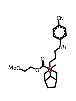 COCCOC(=O)N(C)C1C2CCC1CN(CCCNc1ccc(C#N)cc1)C2